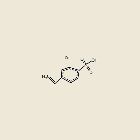 C=Cc1ccc(S(=O)(=O)O)cc1.[Zn]